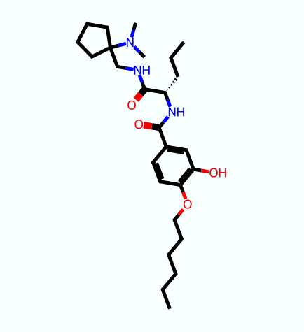 CCCCCCOc1ccc(C(=O)N[C@@H](CCC)C(=O)NCC2(N(C)C)CCCC2)cc1O